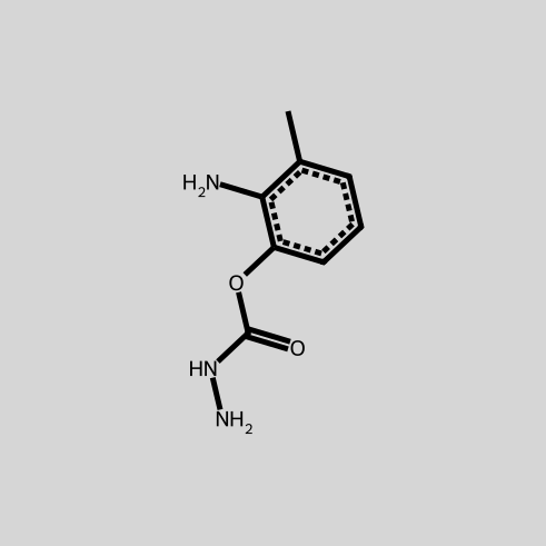 Cc1cccc(OC(=O)NN)c1N